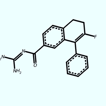 NC(N)=NC(=O)c1ccc2c(c1)C(c1ccccc1)=C(F)CC2